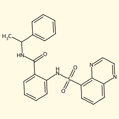 CC(NC(=O)c1ccccc1NS(=O)(=O)c1cccc2nccnc12)c1ccccc1